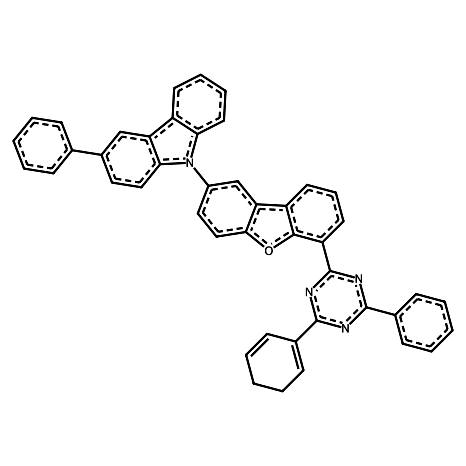 C1=CC(c2nc(-c3ccccc3)nc(-c3cccc4c3oc3ccc(-n5c6ccccc6c6cc(-c7ccccc7)ccc65)cc34)n2)=CCC1